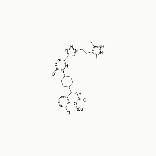 Cc1n[nH]c(C)c1CCn1cc(-c2ccc(=O)n(C3CCC(C(NC(=O)OC(C)(C)C)c4cccc(Cl)c4)CC3)n2)nn1